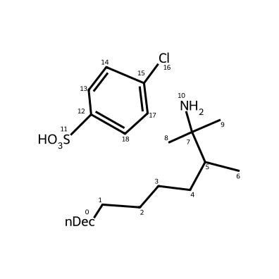 CCCCCCCCCCCCCCC(C)C(C)(C)N.O=S(=O)(O)c1ccc(Cl)cc1